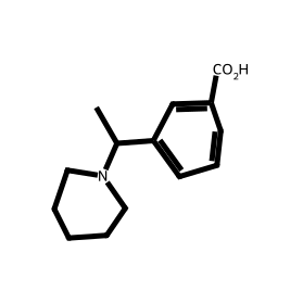 CC(c1cccc(C(=O)O)c1)N1CCCCC1